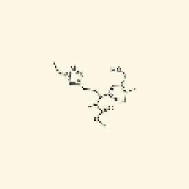 CCn1cc(CCC(c2ccc(C)c(CO)c2)C(C)C(=O)OC)nn1